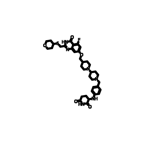 O=C1CCC(Nc2ccc(CN3CCC(N4CCC(COc5cc(F)c6c(=O)[nH]c(CSC7CCOCC7)nc6c5)CC4)CC3)cc2)C(=O)N1